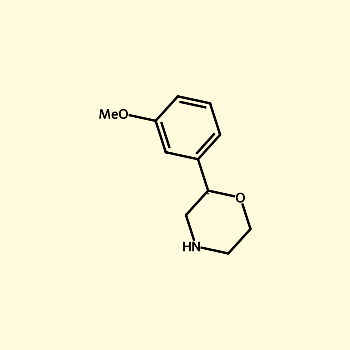 COc1cccc([C]2CNCCO2)c1